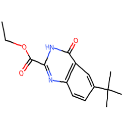 CCOC(=O)c1nc2ccc(C(C)(C)C)cc2c(=O)[nH]1